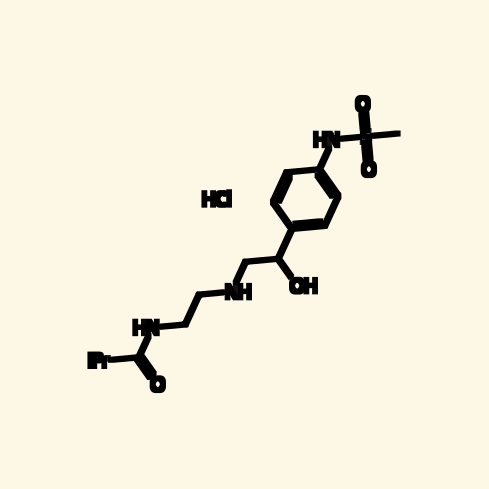 CC(C)C(=O)NCCNCC(O)c1ccc(NS(C)(=O)=O)cc1.Cl